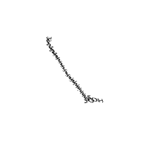 OOS(=S)(=S)SSSSSSSSSSSSSSSSSSSSSSSSSSSSSS